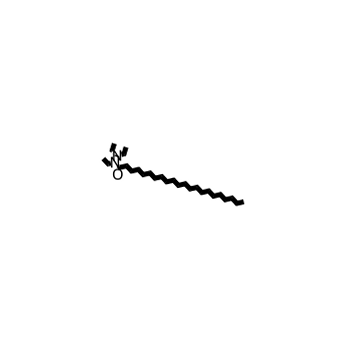 CCCCCCCCCCCCCCCCCCCCCC(=O)N(CC)N(CC)CC